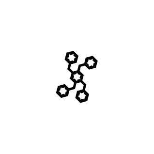 [c]1c(Cc2ccccc2)c(Cc2ccccc2)[c]c(Cc2ccccc2)c1Cc1ccccc1